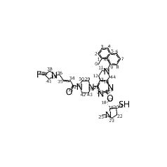 Cc1cccc2cccc(N3CCc4c(nc(OC[C@@H]5[C@H](S)CCN5C)nc4N4CCN(C(=O)/C=C/CN5CC(F)C5)CC4)C3)c12